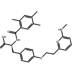 CNc1cccc(CCOc2ccc(C[C@H](NC(=O)c3cc(C)c(C)cc3C)C(=O)O)cc2)n1